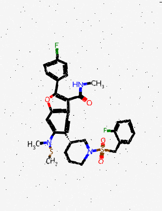 CNC(=O)c1c(-c2ccc(F)cc2)oc2cc(N(C)SC)c([C@H]3CCCN(S(=O)(=O)Cc4ccccc4F)C3)cc12